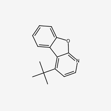 CC(C)(C)c1ccnc2oc3ccccc3c12